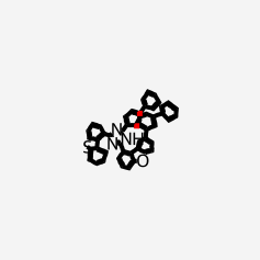 c1ccc(-c2ccc(C3N=C(c4cccc5sc6ccccc6c45)N=C(c4cccc5oc6ccc(-c7cccc(-c8ccccc8)c7)cc6c45)N3)cc2)cc1